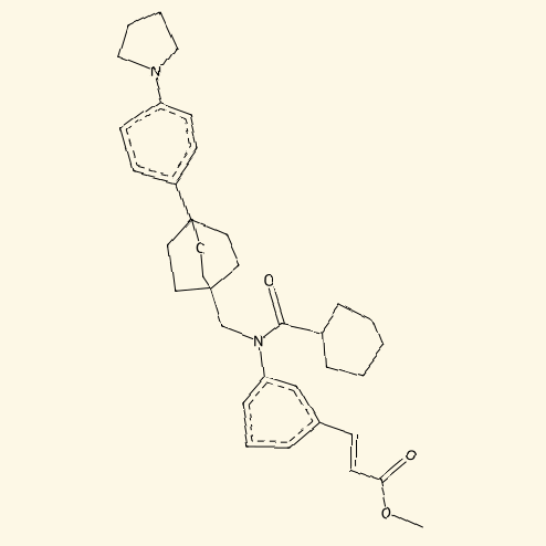 COC(=O)/C=C/c1cccc(N(CC23CCC(c4ccc(N5CCCC5)cc4)(CC2)CC3)C(=O)C2CCCCC2)c1